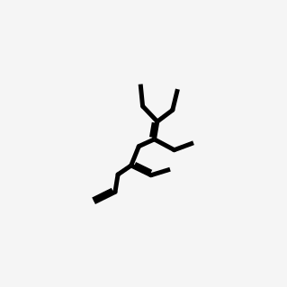 C=CCC(=CC)CC(CC)=C(CC)CC